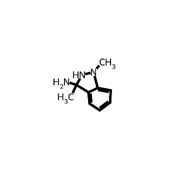 CN1NC(C)(N)c2ccccc21